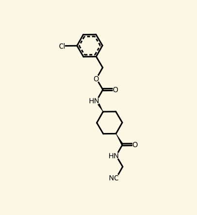 N#CCNC(=O)[C@H]1CC[C@@H](NC(=O)OCc2cccc(Cl)c2)CC1